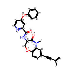 C=C(C)C#Cc1ccc2c(c1)N(C)C(=O)[C@H](NC(=O)c1cc(Oc3ccccc3)ccn1)CO2